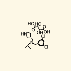 CC(C)CN(Cc1cc(Cl)cc(Cl)c1)C[C@@H]1CCNC1.O=C(O)C(O)C(O)C(=O)O